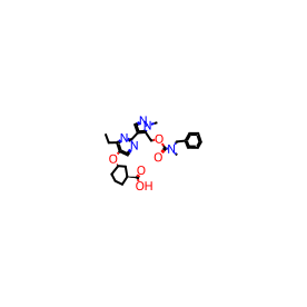 CCc1nc(-c2cnn(C)c2COC(=O)N(C)Cc2ccccc2)ncc1O[C@H]1CCC[C@H](C(=O)O)C1